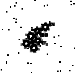 Cc1cc(-c2ccc(C#N)cc2)c(C=O)n1Cc1cc(C(F)(F)F)nn1C(c1ccccc1)(c1ccccc1)c1ccccc1